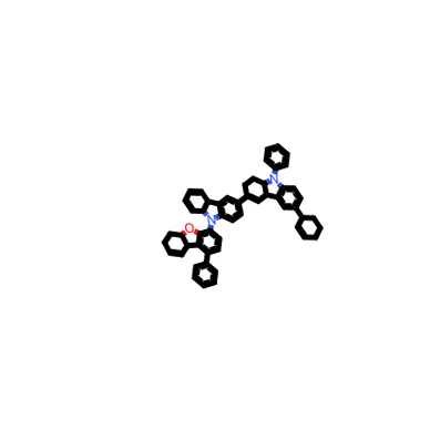 C1=CC2c3cc(C4=CC5c6cc(C7C=CCCC7)ccc6N(c6ccccc6)C5CC4)ccc3N(c3ccc(-c4ccccc4)c4c3OC3CCC=CC43)C2C=C1